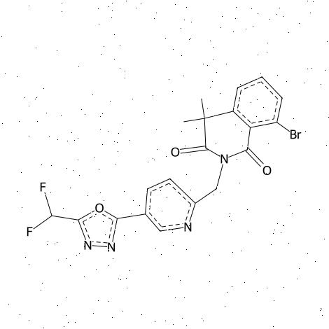 CC1(C)C(=O)N(Cc2ccc(-c3nnc(C(F)F)o3)cn2)C(=O)c2c(Br)cccc21